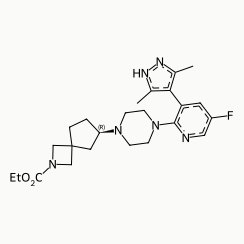 CCOC(=O)N1CC2(CC[C@@H](N3CCN(c4ncc(F)cc4-c4c(C)n[nH]c4C)CC3)C2)C1